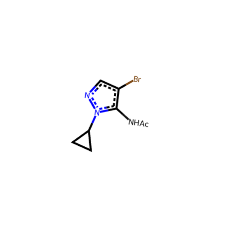 CC(=O)Nc1c(Br)cnn1C1CC1